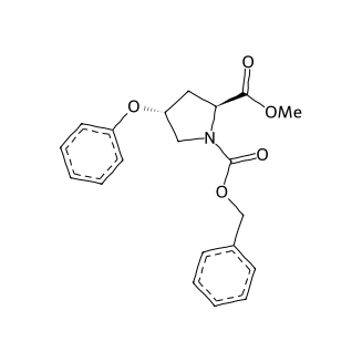 COC(=O)[C@@H]1C[C@@H](Oc2ccccc2)CN1C(=O)OCc1ccccc1